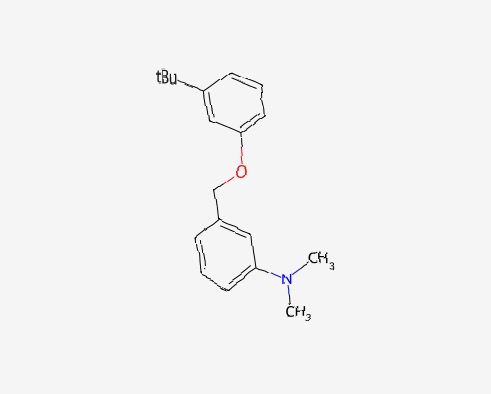 CN(C)c1cccc(COc2cccc(C(C)(C)C)c2)c1